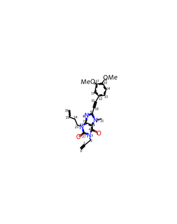 C#CCn1c(=O)c2c(nc(C#Cc3ccc(OC)c(OC)c3)n2C)n(CCC=C)c1=O